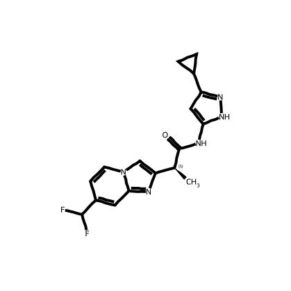 C[C@H](C(=O)Nc1cc(C2CC2)n[nH]1)c1cn2ccc(C(F)F)cc2n1